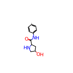 O=C(Nc1cc[c]cc1)C1CC(O)CN1